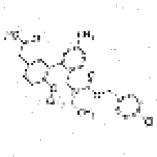 CCN(Cc1ccc(C)cc1-c1cc(CC(=O)O)ccc1OC)C(=O)OCc1ccc(Cl)cc1